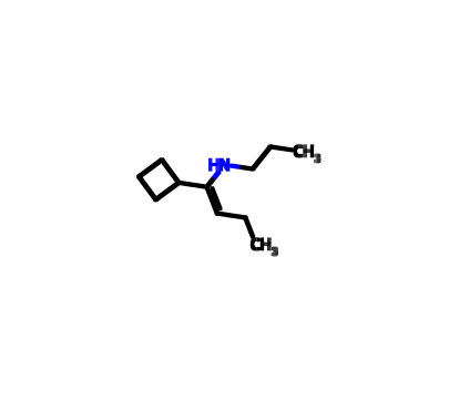 CC/C=C(\NCCC)C1CCC1